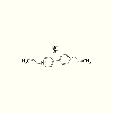 C=CC[n+]1ccc(-c2cc[n+](CC=C)cc2)cc1.[Br-].[Br-]